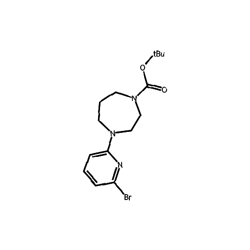 CC(C)(C)OC(=O)N1CCCN(c2cccc(Br)n2)CC1